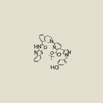 CC(C)(C)OC(=O)c1nc(N2CCc3cccc(C(=O)Nc4nc5ccccc5s4)c3C2)ccc1-c1cnn(Cc2ccc(O)cc2)c1